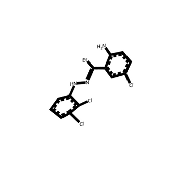 CC/C(=N\Nc1cccc(Cl)c1Cl)c1cc(Cl)ccc1N